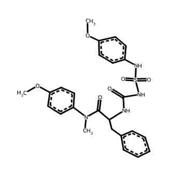 COc1ccc(NS(=O)(=O)NC(=O)NC(Cc2ccccc2)C(=O)N(C)c2ccc(OC)cc2)cc1